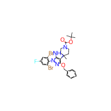 CC(C)(C)OC(=O)N1CCC(C)(c2c(OCc3ccccc3)nn(-c3c(Br)cc(F)cc3Br)c2N)CC1